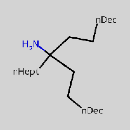 CCCCCCCCCCCCC(N)(CCCCCCC)CCCCCCCCCCCC